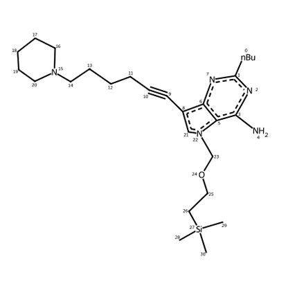 CCCCc1nc(N)c2c(n1)c(C#CCCCCN1CCCCC1)cn2COCC[Si](C)(C)C